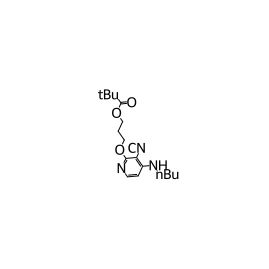 CCCCNc1ccnc(OCCCOC(=O)C(C)(C)C)c1C#N